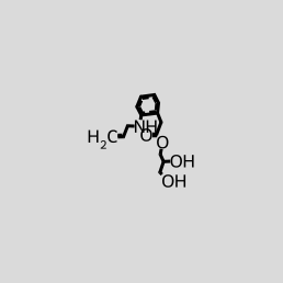 C=CCNc1ccccc1CC(=O)OCC(O)CO